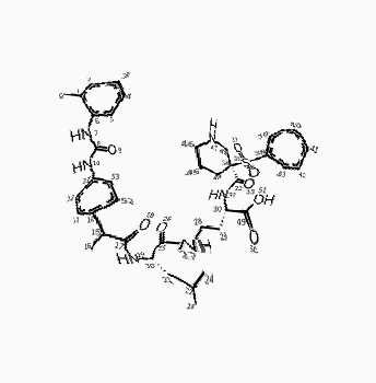 Cc1ccccc1NC(=O)Nc1ccc(C(C)C(=O)N[C@@H](CC(C)C)C(=O)NCC[C@H](NC(=O)[C@]2(S(=O)(=O)c3ccccc3)CCCNC2)C(=O)O)cc1